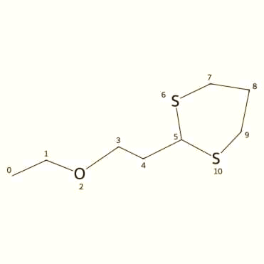 CCOCCC1SCCCS1